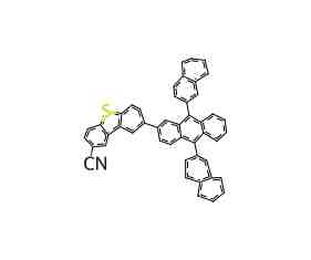 N#Cc1ccc2sc3ccc(-c4ccc5c(-c6ccc7ccccc7c6)c6ccccc6c(-c6ccc7ccccc7c6)c5c4)cc3c2c1